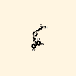 O=C(O)CCCCN1CCN(C[C@@H](O)Cn2c3ccc(Br)cc3c3cc(Br)ccc32)CC1